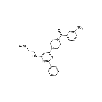 CC(=O)NCCNc1cc(N2CCN(C(=O)c3cccc([N+](=O)[O-])c3)CC2)nc(-c2ccccc2)n1